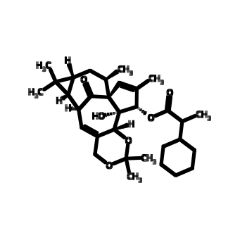 CC1=C[C@]23C(=O)[C@@H](C=C4COC(C)(C)O[C@H]4[C@]2(O)[C@H]1OC(=O)C(C)C1CCCCC1)[C@H]1[C@@H](C[C@H]3C)C1(C)C